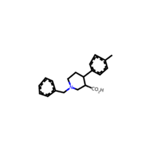 Cc1ccc(C2CCN(Cc3ccccc3)CC2C(=O)O)cc1